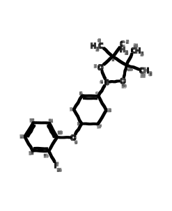 CC1(C)OB(C2=CCC(Oc3ccccc3F)CC2)OC1(C)C